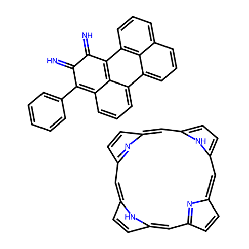 C1=Cc2cc3ccc(cc4nc(cc5ccc(cc1n2)[nH]5)C=C4)[nH]3.N=c1c(-c2ccccc2)c2cccc3c4cccc5cccc(c(c1=N)c23)c54